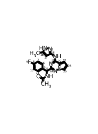 CC(=O)NC(c1ccc(F)cc1)c1nc(Nc2cc(C)[nH]n2)c2cccn2n1